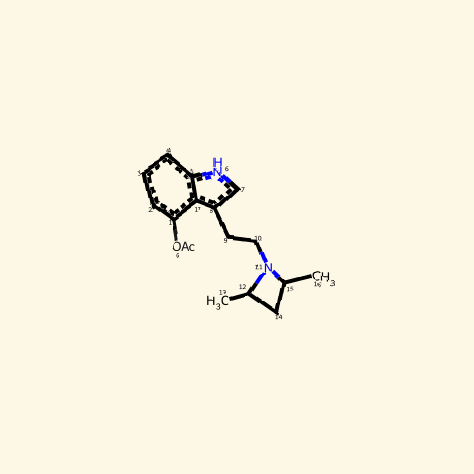 CC(=O)Oc1cccc2[nH]cc(CCN3C(C)CC3C)c12